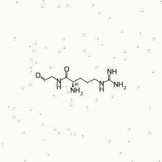 N=C(N)NCCC[C@@H](N)C(=O)NC[C]=O